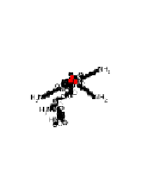 C/C=C\C1=C(/C=N/C(=O)CCCCCCCN)C2(CCC(=O)N(C)CCOCCN(C)C(=O)[C@@H]3C[C@H](N)CN3C(=O)c3ccc4c(=O)oc(=O)[nH]c4c3)c3cc(NC(=O)CCCCCCCN)ccc3C1c1ccc(NC(=O)CCCCCCCN)cc12